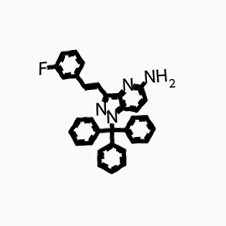 Nc1ccc2c(n1)c(/C=C/c1cccc(F)c1)nn2C(c1ccccc1)(c1ccccc1)c1ccccc1